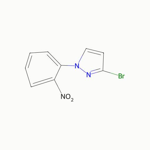 O=[N+]([O-])c1ccccc1-n1ccc(Br)n1